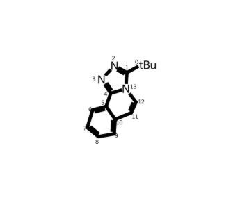 CC(C)(C)c1nnc2c3ccccc3ccn12